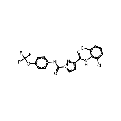 O=C(Nc1c(Cl)cccc1Cl)c1ccn(C(=O)Nc2ccc(OC(F)(F)F)cc2)n1